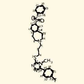 Cn1c(SCCCN2CCc3ccc(S(=O)(=O)c4ccccc4)cc3CC2)nnc1-c1ccc(F)cc1